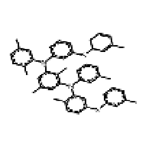 CC1=CC(Sc2cccc(N(c3cc(C)ccc3C)c3cc(C)cc(N(c4cccc(C)c4)c4cc(Sc5cccc(C)c5)ccc4C)c3C)c2)CC=C1